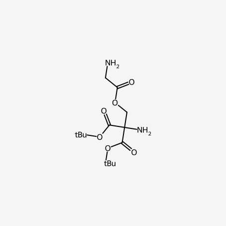 CC(C)(C)OC(=O)C(N)(COC(=O)CN)C(=O)OC(C)(C)C